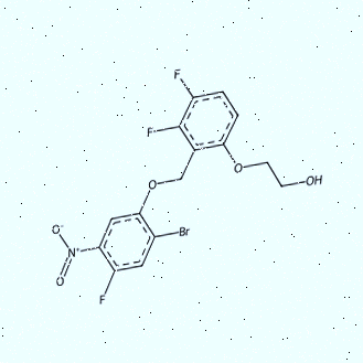 O=[N+]([O-])c1cc(OCc2c(OCCO)ccc(F)c2F)c(Br)cc1F